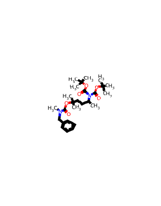 CC(CCC(C)(C)OC(=O)N(C)Cc1ccccc1)N(C(=O)OC(C)(C)C)C(=O)OC(C)(C)C